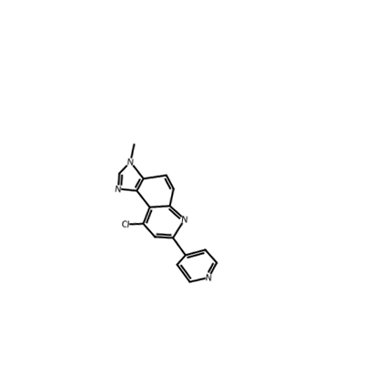 Cn1cnc2c3c(Cl)cc(-c4ccncc4)nc3ccc21